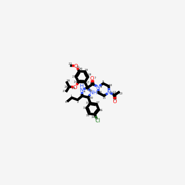 CCCC1NC(C(=O)N2CCN(C(C)=O)CC2)(c2ccc(OC)cc2OC(C)C)NC1c1ccc(Cl)cc1